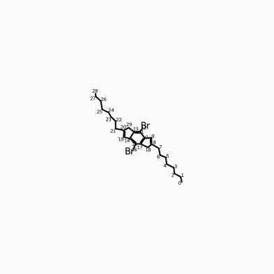 CCCCCCCCC1=Cc2c(Br)c3c(c(Br)c2C1)C=C(CCCCCCCC)C3